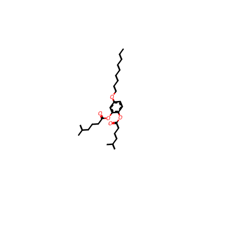 CCCCCCCCCOc1ccc(OC(=O)CCCC(C)C)c(OC(=O)CCCC(C)C)c1